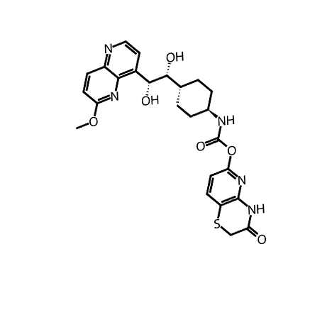 COc1ccc2nccc([C@@H](O)[C@H](O)[C@H]3CC[C@H](NC(=O)Oc4ccc5c(n4)NC(=O)CS5)CC3)c2n1